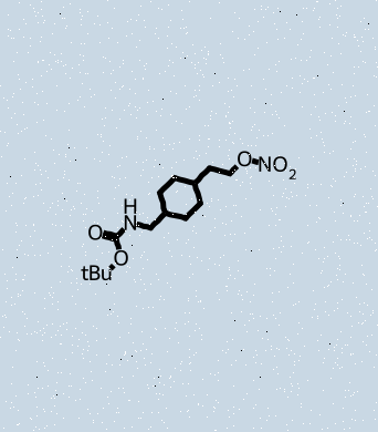 CC(C)(C)OC(=O)NCC1CCC(CCO[N+](=O)[O-])CC1